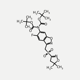 CC(C)(C)OC(=O)N(C(=O)OC(C)(C)C)c1cc2onc(CS(=O)(=O)C3=NOC(C)(C)C3)c2cc1F